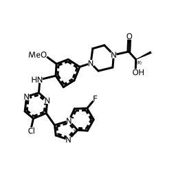 COc1cc(N2CCN(C(=O)[C@@H](C)O)CC2)ccc1Nc1ncc(Cl)c(-c2cnc3ccc(F)cn23)n1